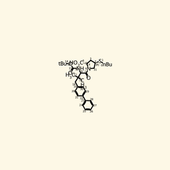 CCCCS[C@@H]1C[C@@H](C(=O)O)N(C(=O)C(NC(=O)OC(C)(C)C)C(C)(C)Cc2ccc(-c3ccccc3)cc2)C1